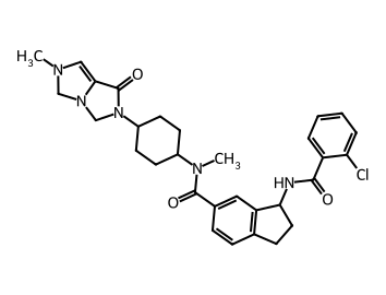 CN1C=C2C(=O)N(C3CCC(N(C)C(=O)c4ccc5c(c4)C(NC(=O)c4ccccc4Cl)CC5)CC3)CN2C1